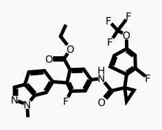 CCOC(=O)c1cc(NC(=O)C2(c3ccc(OC(F)(F)F)cc3F)CC2)cc(F)c1-c1ccc2cnn(C)c2c1